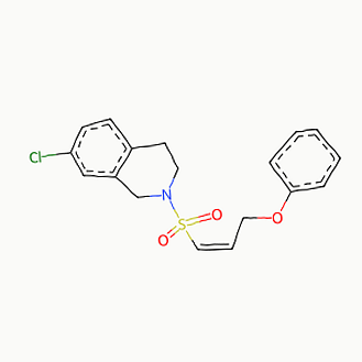 O=S(=O)(/C=C\COc1ccccc1)N1CCc2ccc(Cl)cc2C1